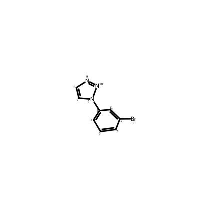 Brc1cccc(-n2ccnn2)c1